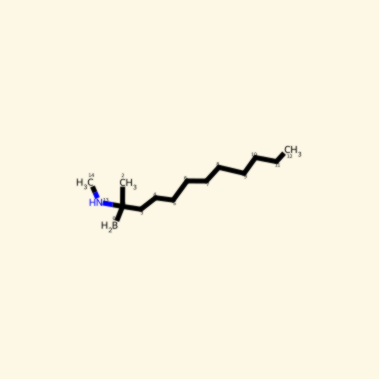 BC(C)(CCCCCCCCCC)NC